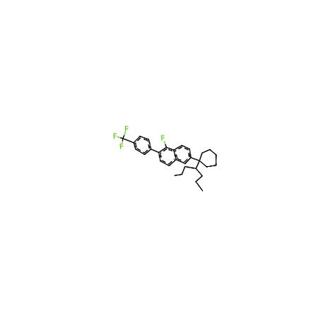 CCCC(CCC)C1(c2ccc3c(F)c(-c4ccc(C(F)(F)F)cc4)ccc3c2)CCCCC1